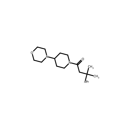 CCCC(C)(C)CC(=O)N1CCC(N2CCOCC2)CC1